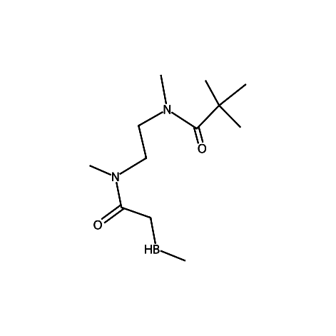 CBCC(=O)N(C)CCN(C)C(=O)C(C)(C)C